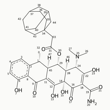 C[C@H]1c2cccc(O)c2C(=O)C2=C(O)[C@]3(O)C(=O)C(C(N)=O)=C(O)[C@@H](N(C)C)[C@@H]3[C@@H](OC(=O)CC34CCC5CC(CC(C5)C3)C4)[C@@H]21